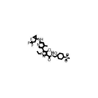 CCn1nc(C(=O)NCC2(O)CCC(S(C)(=O)=O)CC2)c(Cl)c1-c1cnc(NC2(CC(F)(F)F)CC2)cc1C